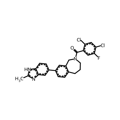 Cc1nc2cc(-c3ccc4c(c3)CN(C(=O)c3cc(F)c(Cl)cc3Cl)CCC4)ccc2[nH]1